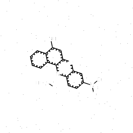 CCN(CC)c1ccc2nc3c(cc(N)c4ccccc43)[o+]c2c1.O=S(=O)([O-])O